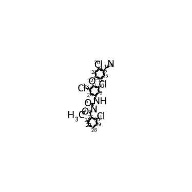 COC(=NC(=O)Nc1cc(Cl)c(Oc2ccc(C#N)c(Cl)c2)c(Cl)c1)c1ccccc1Cl